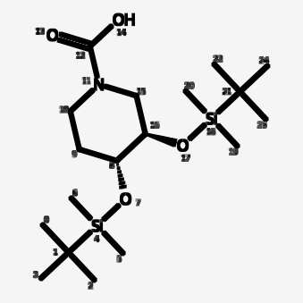 CC(C)(C)[Si](C)(C)O[C@@H]1CCN(C(=O)O)C[C@H]1O[Si](C)(C)C(C)(C)C